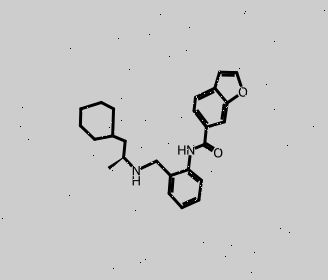 C[C@@H](CC1CCCCC1)NCc1ccccc1NC(=O)c1ccc2ccoc2c1